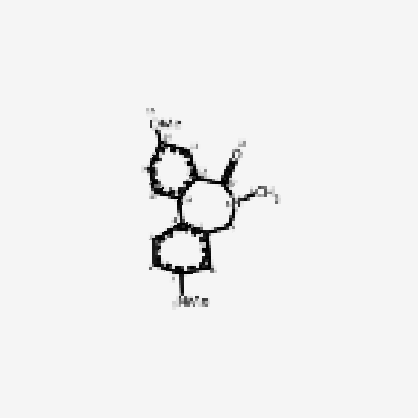 CNc1ccc2c(c1)CN(C)C(=O)c1cc(OC)ccc1-2